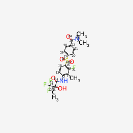 Cc1c(NC(=O)[C@@](C)(O)C(F)(F)F)ccc(S(=O)(=O)c2ccc(C(=O)N(C)C)cc2)c1F